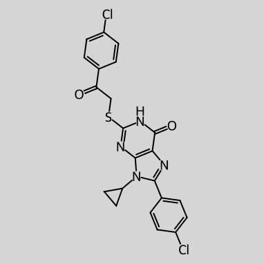 O=C(CSc1nc2c(nc(-c3ccc(Cl)cc3)n2C2CC2)c(=O)[nH]1)c1ccc(Cl)cc1